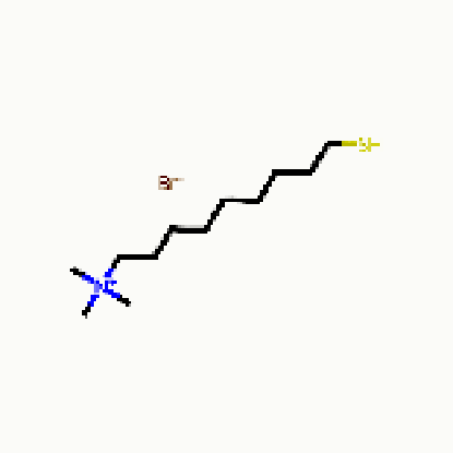 C[N+](C)(C)CCCCCCCCCS.[Br-]